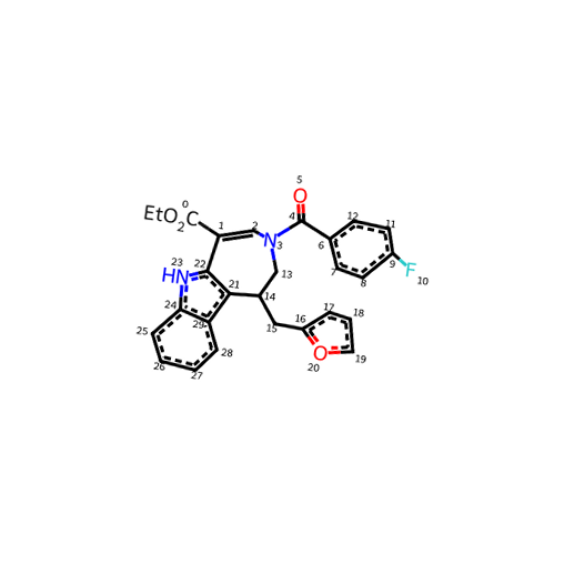 CCOC(=O)C1=CN(C(=O)c2ccc(F)cc2)CC(Cc2ccco2)c2c1[nH]c1ccccc21